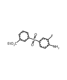 CCOC(=O)c1cccc(S(=O)(=O)c2ccc(N)c(F)c2)c1